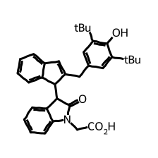 CC(C)(C)c1cc(CC2=Cc3ccccc3C2C2C(=O)N(CC(=O)O)c3ccccc32)cc(C(C)(C)C)c1O